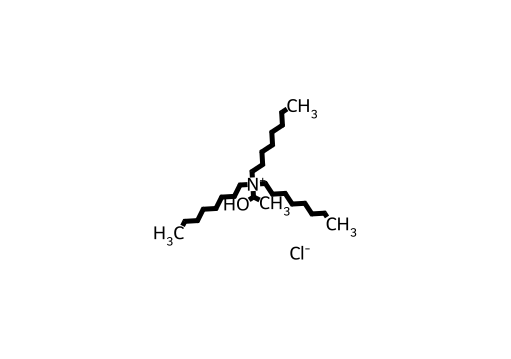 CCCCCCCC[N+](CCCCCCCC)(CCCCCCCC)C(C)O.[Cl-]